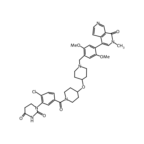 COc1cc(-c2cn(C)c(=O)c3cnccc23)c(OC)cc1CN1CCC(OC2CCN(C(=O)c3ccc(Cl)c(N4CCC(=O)NC4=O)c3)CC2)CC1